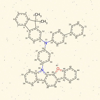 CC1(C)c2ccccc2-c2ccc(N(c3ccc(-c4ccccc4)cc3)c3ccc(-n4c5ccccc5c5ccc6c7ccccc7oc6c54)cc3)cc21